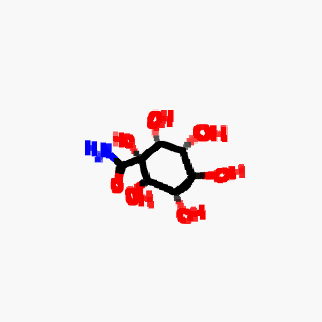 NC(=O)[C@@]1(O)[C@H](O)[C@H](O)[C@@H](O)[C@H](O)[C@H]1O